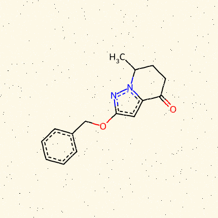 CC1CCC(=O)c2cc(OCc3ccccc3)nn21